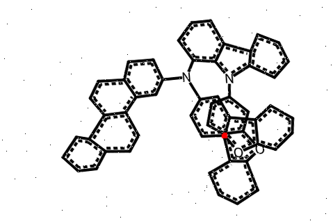 c1ccc2c(c1)ccc1c3cc(N(c4ccc5oc6ccccc6c5c4)c4cccc5c6ccccc6n(-c6ccc7c(c6)oc6ccccc67)c45)ccc3ccc21